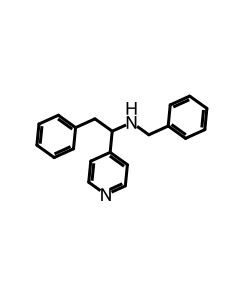 c1ccc(CNC(Cc2ccccc2)c2ccncc2)cc1